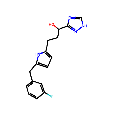 OC(CCc1ccc(Cc2cccc(F)c2)[nH]1)c1nc[nH]n1